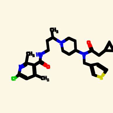 Cc1cc(Cl)nc(C)c1C(=O)NCCC(C)N1CCC(N(Cc2ccsc2)C(=O)CC2CC2)CC1